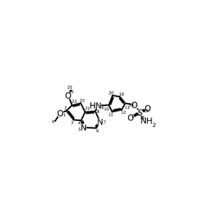 COc1cc2ncnc(Nc3ccc(OS(N)(=O)=O)cc3)c2cc1OC